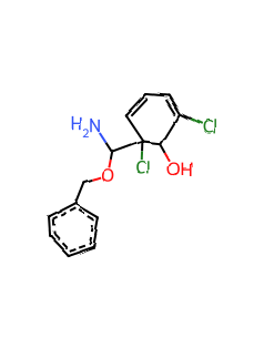 NC(OCc1ccccc1)C1(Cl)C=CC=C(Cl)C1O